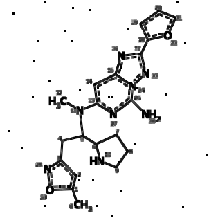 Cc1cc(CC(C2CCCN2)N(C)c2cc3nc(-c4ccco4)nn3c(N)n2)no1